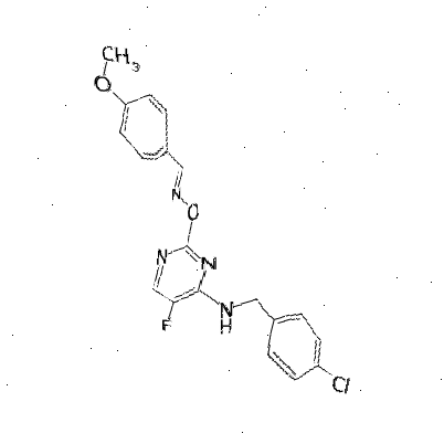 COc1ccc(C=NOc2ncc(F)c(NCc3ccc(Cl)cc3)n2)cc1